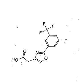 O=C(O)Cc1coc(-c2cc(F)cc(C(F)(F)F)c2)n1